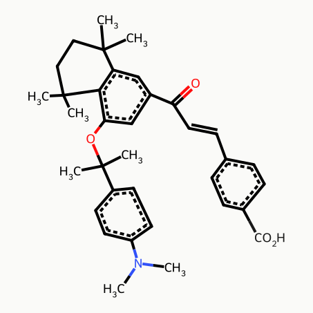 CN(C)c1ccc(C(C)(C)Oc2cc(C(=O)C=Cc3ccc(C(=O)O)cc3)cc3c2C(C)(C)CCC3(C)C)cc1